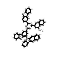 CC1CC(c2nc(-c3ccc4oc5ccccc5c4c3)nc(-c3cc(-n4c5ccccc5c5cc6ccccc6cc54)c4oc5ccccc5c4c3)n2)=Cc2ccccc21